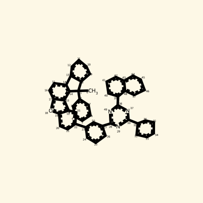 CC1(c2ccccc2)c2ccccc2-c2ccc3oc4ccc(-c5cccc(-c6nc(-c7ccccc7)nc(-c7cccc8ccccc78)n6)c5)cc4c3c21